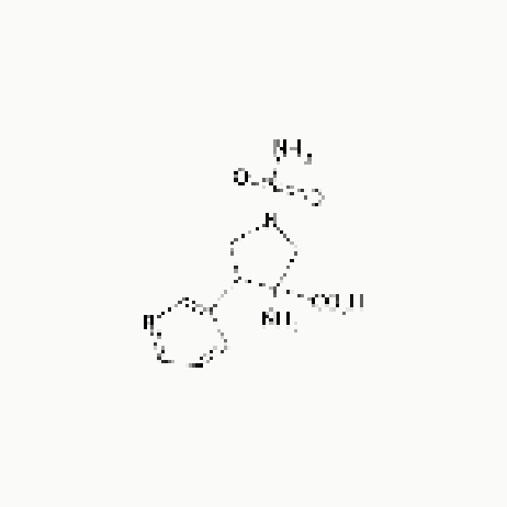 NC1(C(=O)O)CN(S(N)(=O)=O)CC1c1cbccc1